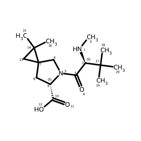 CN[C@H](C(=O)N1CC2(C[C@H]1C(=O)O)CC2(C)C)C(C)(C)C